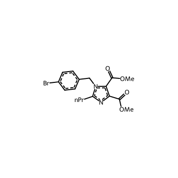 CCCc1nc(C(=O)OC)c(C(=O)OC)n1Cc1ccc(Br)cc1